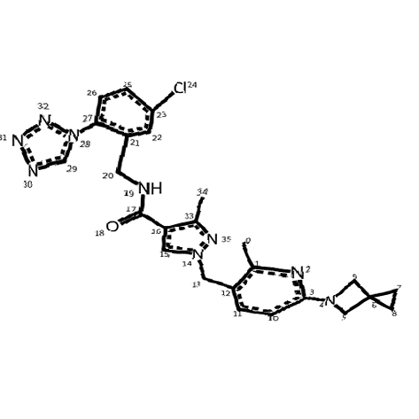 Cc1nc(N2CC3(CC3)C2)ccc1Cn1cc(C(=O)NCc2cc(Cl)ccc2-n2cnnn2)c(C)n1